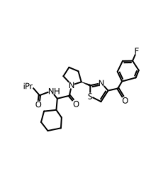 CC(C)C(=O)NC(C(=O)N1CCC[C@H]1c1nc(C(=O)c2ccc(F)cc2)cs1)C1CCCCC1